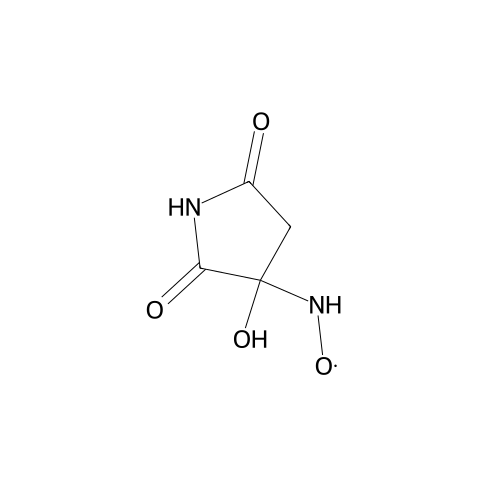 [O]NC1(O)CC(=O)NC1=O